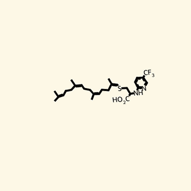 CC(C)=CCCC(C)=CCCC(C)=CCCC(C)=CSCC(Nc1ccc(C(F)(F)F)cn1)C(=O)O